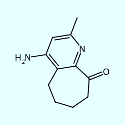 Cc1cc(N)c2c(n1)C(=O)CCCC2